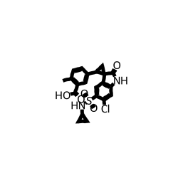 Cc1ccc(C2CC23C(=O)Nc2cc(Cl)c(S(=O)(=O)NC4CC4)cc23)cc1C(=O)O